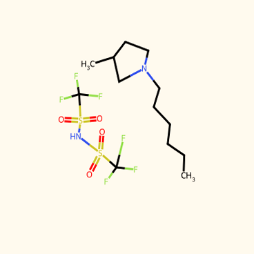 CCCCCCN1CCC(C)C1.O=S(=O)(NS(=O)(=O)C(F)(F)F)C(F)(F)F